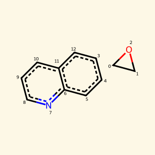 C1CO1.c1ccc2ncccc2c1